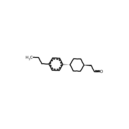 CCCc1ccc([C@H]2CC[C@H](CC=O)CC2)cc1